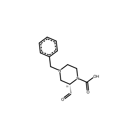 O=C[C@@H]1CN(Cc2ccccc2)CCN1C(=O)O